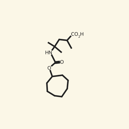 CC(CC(C)(C)NC(=O)OC1CCCCCCC1)C(=O)O